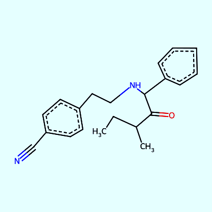 CCC(C)C(=O)C(NCCc1ccc(C#N)cc1)c1ccccc1